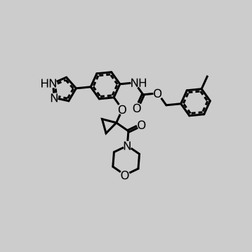 Cc1cccc(COC(=O)Nc2ccc(-c3cn[nH]c3)cc2OC2(C(=O)N3CCOCC3)CC2)c1